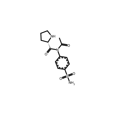 CC(=O)N(C(=O)[C@@H]1CCCN1)c1ccc(S(N)(=O)=O)cc1